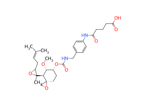 CO[C@H]1[C@H](C2(C)OC2CC=C(C)C)[C@]2(CC[C@H]1OC(=O)NCc1ccc(NC(=O)CCCC(=O)O)cc1)CO2